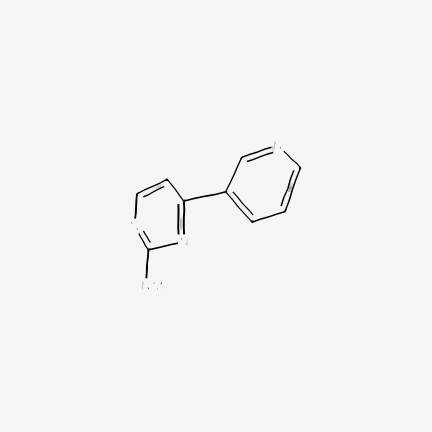 CNc1nccc(-c2cccnc2)n1